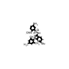 COc1ccc(N)cc1S(=O)(=O)Nc1nn(-c2c(C)cc(C)cc2C)c2nc(C(C)(C)C)ccc12